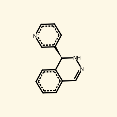 C1=NN[C@H](c2cccnc2)c2ccccc21